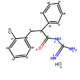 Cl.N=C(N)NC(=O)C(Cc1ccccc1Cl)c1ccccc1